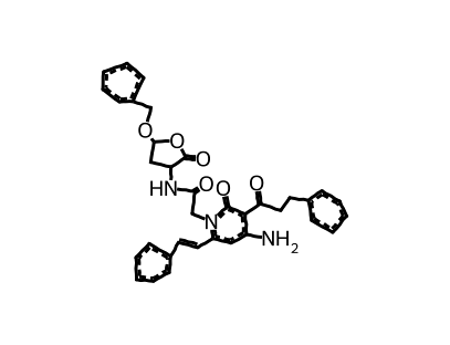 Nc1cc(C=Cc2ccccc2)n(CC(=O)NC2CC(OCc3ccccc3)OC2=O)c(=O)c1C(=O)CCc1ccccc1